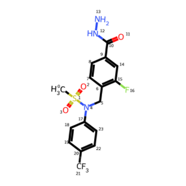 CS(=O)(=O)N(Cc1ccc(C(=O)NN)cc1F)c1ccc(C(F)(F)F)cc1